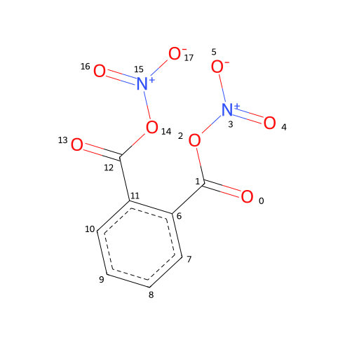 O=C(O[N+](=O)[O-])c1ccccc1C(=O)O[N+](=O)[O-]